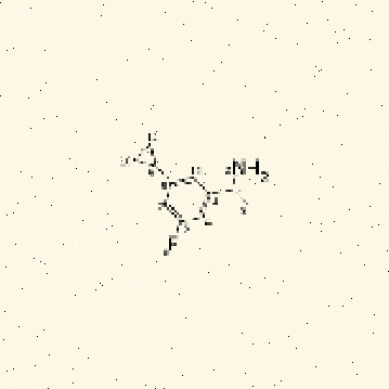 C[C@@H](N)c1cc(F)cc(C2CC2)c1